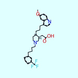 COc1ccc2nccc(CCC[C@@H]3CCN(CCCCc4cccc(C(F)(F)F)c4)C[C@@H]3CC(=O)O)c2c1